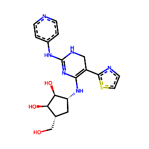 OC[C@H]1C[C@@H](NC2=C(c3nccs3)CNC(Nc3ccncc3)=N2)[C@H](O)[C@@H]1O